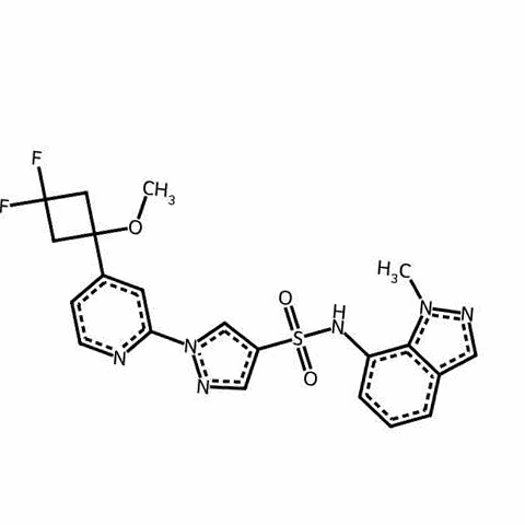 COC1(c2ccnc(-n3cc(S(=O)(=O)Nc4cccc5cnn(C)c45)cn3)c2)CC(F)(F)C1